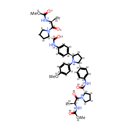 COC(=O)N[C@H](C(=O)N1CCC[C@H]1C(=O)Nc1ccc([C@H]2CC[C@H](c3ccc(NC(=O)[C@@H]4CCCN4C(=O)[C@@H](NC(=O)OC)C(C)C)cc3)N2c2ccc(OC)cc2)cc1)C(C)C